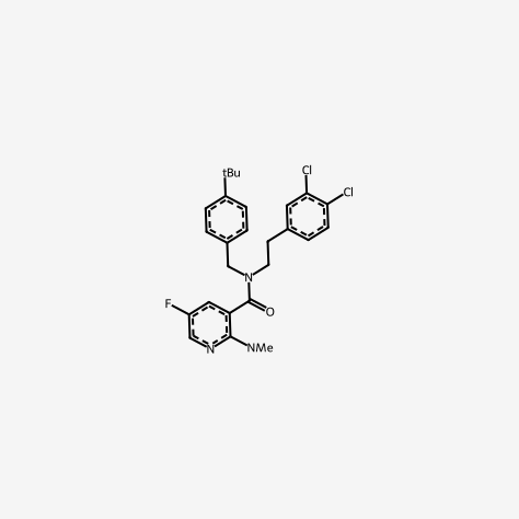 CNc1ncc(F)cc1C(=O)N(CCc1ccc(Cl)c(Cl)c1)Cc1ccc(C(C)(C)C)cc1